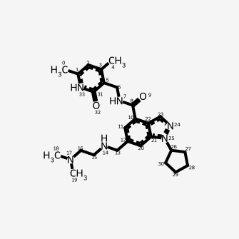 Cc1cc(C)c(CNC(=O)c2cc(CNCCN(C)C)cc3c2cnn3C2CCCC2)c(=O)[nH]1